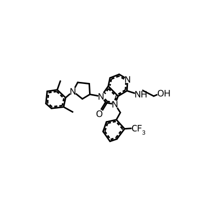 Cc1cccc(C)c1N1CCC(n2c(=O)n(Cc3ccccc3C(F)(F)F)c3c(NCCO)nccc32)C1